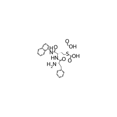 N[C@@H](Cc1ccccc1)C(=O)N[C@@H](CCSC(=O)O)C(=O)Nc1cccc2ccccc12.O=CO